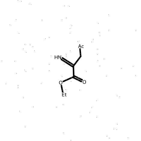 CCOC(=O)C(=N)CC(C)=O